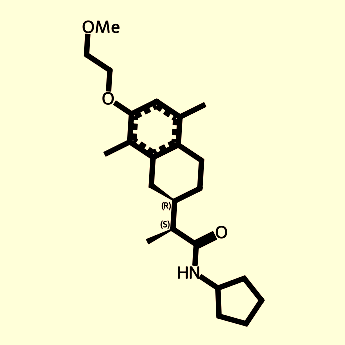 COCCOc1cc(C)c2c(c1C)C[C@H]([C@H](C)C(=O)NC1CCCC1)CC2